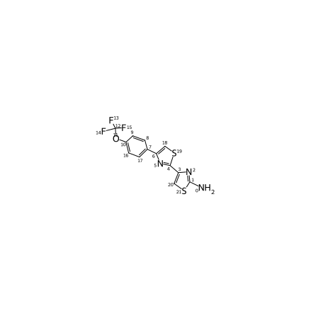 Nc1nc(-c2nc(-c3ccc(OC(F)(F)F)cc3)cs2)cs1